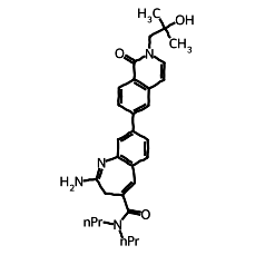 CCCN(CCC)C(=O)C1=Cc2ccc(-c3ccc4c(=O)n(CC(C)(C)O)ccc4c3)cc2N=C(N)C1